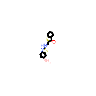 Bc1ccc2nc(N/C=C3\Sc4ccccc4C3=O)sc2c1